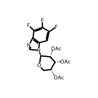 CC(=O)O[C@@H]1[C@H](OC(C)=O)[C@H](OC(C)=O)CO[C@H]1n1cnc2c(F)c(F)c(F)cc21